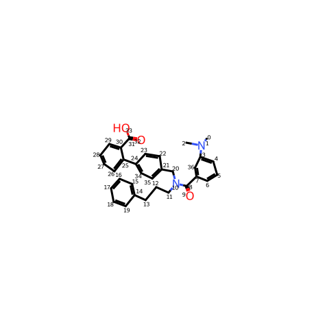 CN(C)c1cccc(C(=O)N(CCCc2ccccc2)Cc2ccc(-c3ccccc3C(=O)O)cc2)c1